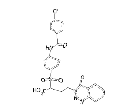 O=C(Nc1ccc(S(=O)(=O)C(CCn2nnc3ccccc3c2=O)C(=O)O)cc1)c1ccc(Cl)cc1